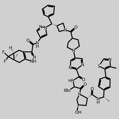 Cc1ncsc1-c1ccc([C@H](C)NC(=O)[C@@H]2C[C@@H](O)CN2C(=O)C(NC(=O)c2ncc(N3CCC(C(=O)N4CC([C@@H](c5ccccc5)n5cc(NC(=O)c6n[nH]c7c6C[C@@H]6C(F)(F)[C@]6(C)C7)cn5)C4)CC3)cn2)C(C)(C)C)cc1